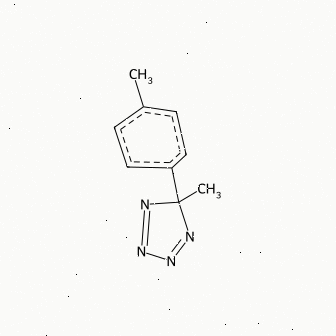 Cc1ccc(C2(C)N=NN=N2)cc1